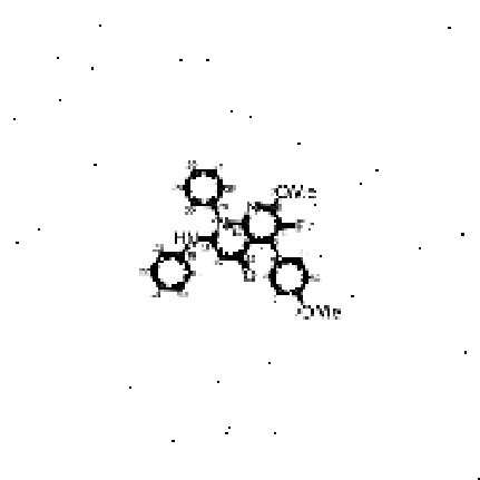 COc1ccc(-c2c(F)c(OC)nc3c2c(=O)cc(Nc2ccccc2)n3-c2ccccc2)cc1